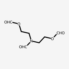 O=COCCN(C=O)CCOC=O